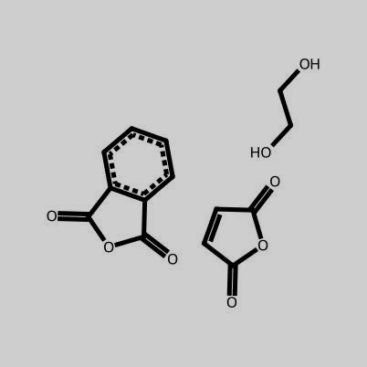 O=C1C=CC(=O)O1.O=C1OC(=O)c2ccccc21.OCCO